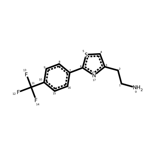 NCCc1csc(-c2ccc(C(F)(F)F)cc2)n1